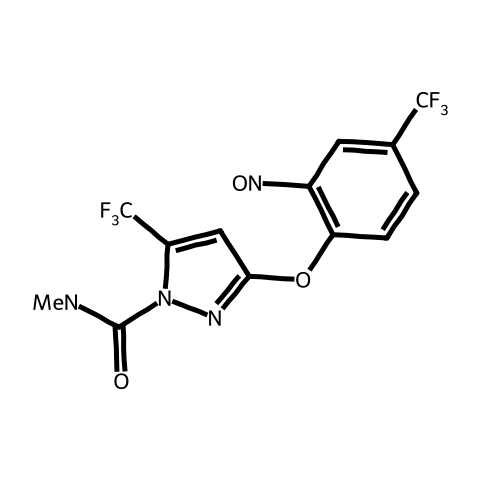 CNC(=O)n1nc(Oc2ccc(C(F)(F)F)cc2N=O)cc1C(F)(F)F